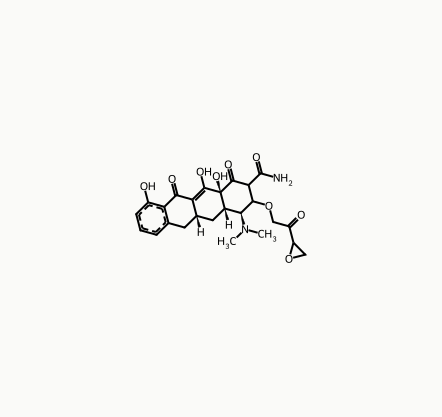 CN(C)[C@@H]1C(OCC(=O)C2CO2)C(C(N)=O)C(=O)[C@@]2(O)C(O)=C3C(=O)c4c(O)cccc4C[C@H]3C[C@@H]12